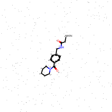 CC(=O)NCC(=O)NCc1ccc(C(=O)N2CCCCC2)cc1